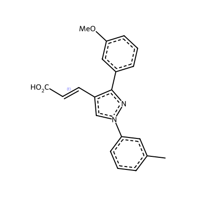 COc1cccc(-c2nn(-c3cccc(C)c3)cc2/C=C/C(=O)O)c1